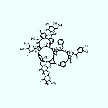 COC1C(N)CC(O[C@@H]2c3ccc(c(Cl)c3)Oc3cc4cc(c3O[C@@H]3OC(CO)[C@@H](O)C(O)C3OC3CC(N)C(O)[C@H](C)O3)Oc3ccc(cc3)[C@@H](O)[C@@H](NC(=O)C(=O)c3ccc(O)c(Cl)c3)C(=O)N[C@@H](Cc3ccccc3)C(=O)N[C@@H]4C(=O)N[C@@H]3C(=O)N[C@@H]2C(=O)N[C@H](C(=O)O)c2cc(O)cc(O[C@@H]4OC(CO)[C@@H](O)C(O)C4O)c2-c2cc3ccc2CO)O[C@H]1C